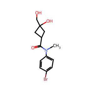 CN(C(=O)C1CC(O)(CO)C1)c1ccc(Br)cc1